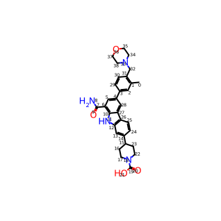 Cc1cc(-c2cc(C(N)=O)c3[nH]c4cc(C5CCN(C(=O)O)CC5)ccc4c3c2)ccc1CN1CCOCC1